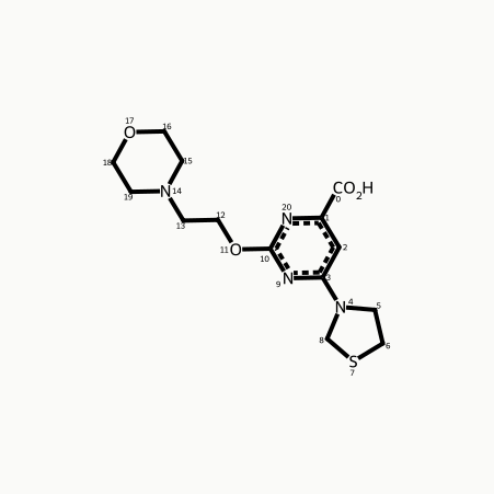 O=C(O)c1cc(N2CCSC2)nc(OCCN2CCOCC2)n1